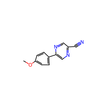 COc1ccc(-c2cnc(C#N)cn2)cc1